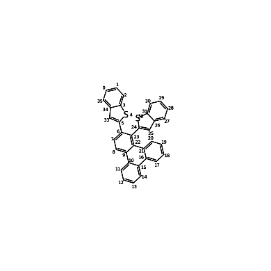 c1ccc2sc(-c3ccc4c5ccccc5c5ccccc5c4c3-c3cc4ccccc4s3)cc2c1